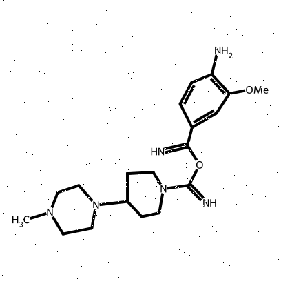 COc1cc(C(=N)OC(=N)N2CCC(N3CCN(C)CC3)CC2)ccc1N